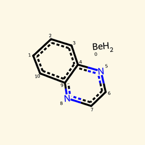 [BeH2].c1ccc2nccnc2c1